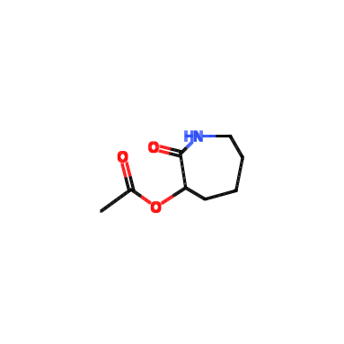 CC(=O)OC1CCCCNC1=O